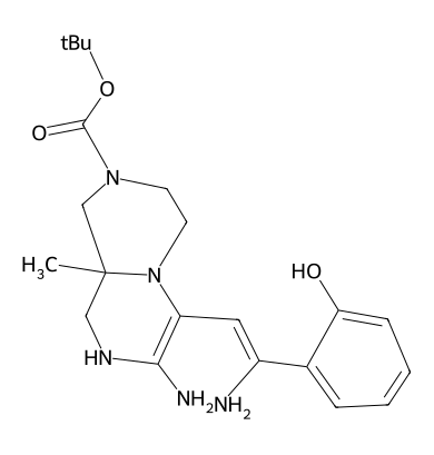 CC(C)(C)OC(=O)N1CCN2C(/C=C(\N)c3ccccc3O)=C(N)NCC2(C)C1